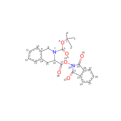 CC(C)(C)OC(=O)N1Cc2ccccc2CC1C(=O)ON1C(=O)c2ccccc2C1=O